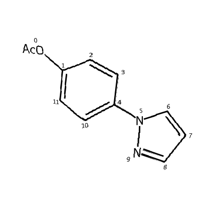 CC(=O)Oc1ccc(-n2cccn2)cc1